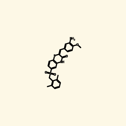 COc1ccc(/C=C2/Sc3ccc(S(=O)(=O)Cc4c(C)cccc4C)cc3NC2=O)cc1N